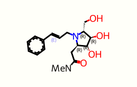 CNC(=O)C[C@@H]1[C@@H](O)[C@H](O)[C@@H](CO)N1C/C=C/c1ccccc1